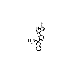 NCC1(c2cccc(-c3ncnc4[nH]ccc34)n2)Cc2ccccc2C1